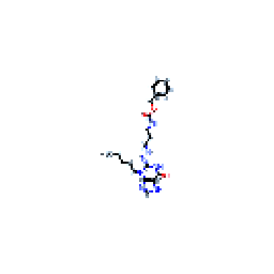 CCCCCn1/c(=N/N=C/CCNC(=O)OCc2ccccc2)[nH]c(=O)c2[nH]cnc21